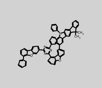 CC1(C)c2ccccc2-c2cc3c(cc21)c1cc(-c2ccc4oc5cccc(-c6nc(-c7ccccc7)nc(-c7ccc8c(c7)oc7c(-c9ccccc9)cccc78)n6)c5c4c2)ccc1n3-c1ccccc1